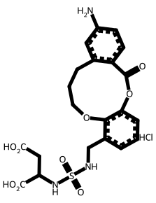 Cl.Nc1ccc2c(c1)CCCOc1c(CNS(=O)(=O)NC(CC(=O)O)C(=O)O)cccc1OC2=O